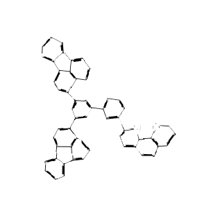 C1=CC2=C(NC1)C1NC(c3cccc(-c4cc(-c5ccc6c7c(cccc57)-c5ccccc5-6)cc(-c5ccc6c7c(cccc57)-c5ccccc5-6)c4)c3)=CC=C1C=C2